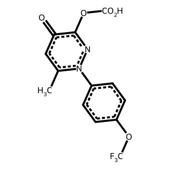 Cc1cc(=O)c(OC(=O)O)nn1-c1ccc(OC(F)(F)F)cc1